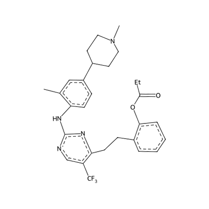 CCC(=O)Oc1ccccc1CCc1nc(Nc2ccc(C3CCN(C)CC3)cc2C)ncc1C(F)(F)F